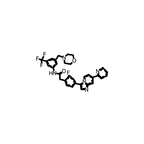 O=C(Cc1ccc(-c2cnc3cc(-c4ccccn4)ccn23)cc1F)Nc1cc(CN2CCOCC2)cc(C(F)(F)F)c1